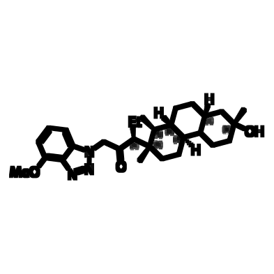 CC[C@H](C(=O)Cn1nnc2c(OC)cccc21)[C@@]1(C)CC[C@@H]2C3CC[C@@](C)(O)C[C@H]3CC[C@H]2[C@@H]1C